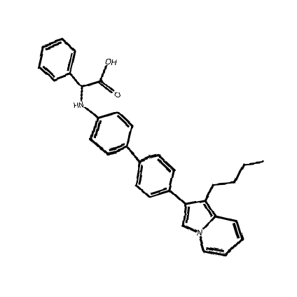 CCCCc1c(-c2ccc(-c3ccc(NC(C(=O)O)c4ccccc4)cc3)cc2)cn2ccccc12